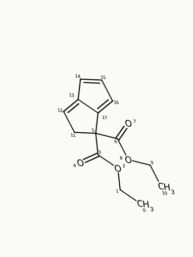 CCOC(=O)C1(C(=O)OCC)CC=C2C=CC=C21